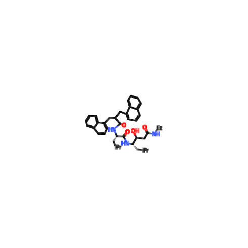 CCNC(=O)C[C@H](O)[C@H](CC(C)C)NC(=O)[C@H](CC(C)C)NC(=O)C(Cc1cccc2ccccc12)Cc1cccc2ccccc12